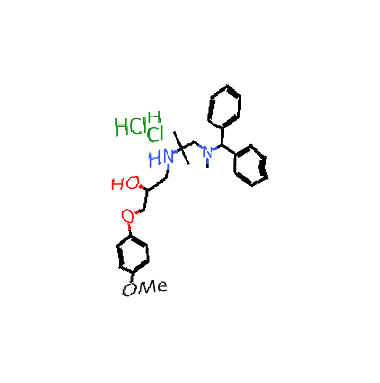 COc1ccc(OCC(O)CNC(C)(C)CN(C)C(c2ccccc2)c2ccccc2)cc1.Cl.Cl